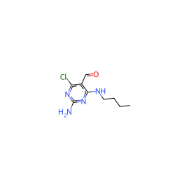 CCCCNc1nc(N)nc(Cl)c1C=O